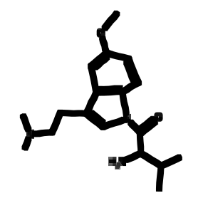 COc1ccc2c(c1)c(CCN(C)C)cn2C(=O)C(N)C(C)C